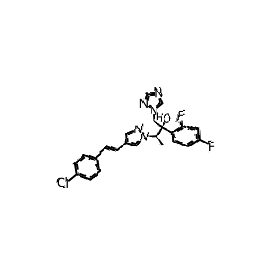 C[C@@H](n1cc(/C=C/c2ccc(Cl)cc2)cn1)[C@](O)(Cn1cncn1)c1ccc(F)cc1F